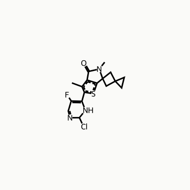 Cc1c(C2=C(F)C=NC(Cl)N2)sc2c1C(=O)N(C)C21CC2(CC2)C1